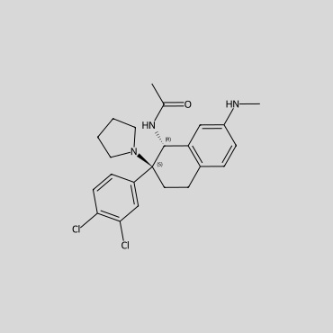 CNc1ccc2c(c1)[C@@H](NC(C)=O)[C@](c1ccc(Cl)c(Cl)c1)(N1CCCC1)CC2